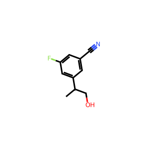 C[C](CO)c1cc(F)cc(C#N)c1